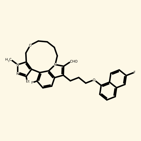 CCc1nn(C)c2c1-c1c(F)ccc3c(CCCOc4cccc5cc(F)ccc45)c(C=O)n(c13)CCCCOC2